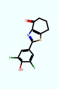 O=C1CCCc2sc(-c3cc(F)c(O)c(F)c3)nc21